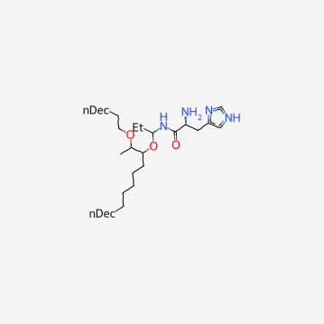 CCCCCCCCCCCCCCCC(OC(CC)NC(=O)[C@@H](N)Cc1c[nH]cn1)C(C)OCCCCCCCCCCCC